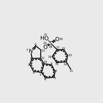 C1=Nc2ccc3ccccc3c2C1.Cc1ccc(S(=O)(=O)O)cc1